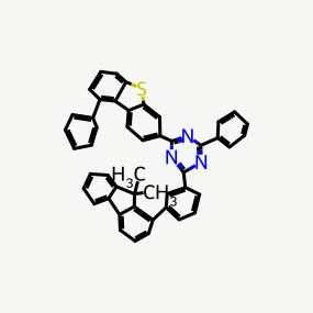 CC1(C)c2ccccc2-c2cccc(-c3cccc(-c4nc(-c5ccccc5)nc(-c5ccc6c(c5)sc5cccc(-c7ccccc7)c56)n4)c3)c21